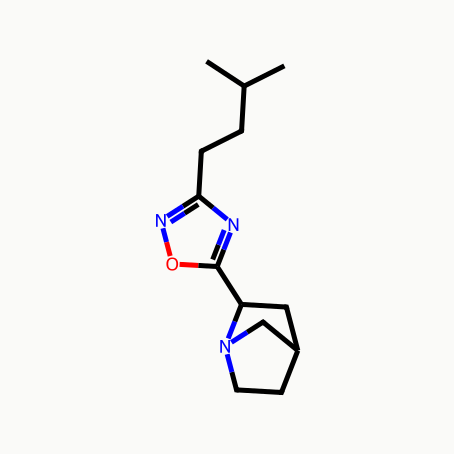 CC(C)CCc1noc(C2CC3CCN2C3)n1